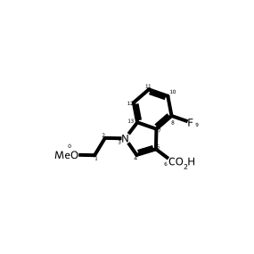 COCCn1cc(C(=O)O)c2c(F)cccc21